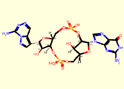 Nc1nc2c(ncn2[C@@H]2O[C@@H]3COP(=O)(O)O[C@H]4[C@@H](O)[C@H](c5cnn6c(N)nncc56)O[C@@H]4COP(=O)(O)O[C@@H]2[C@@H]3O)c(=O)[nH]1